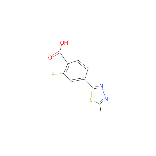 Cc1nnc(-c2ccc(C(=O)O)c(F)c2)s1